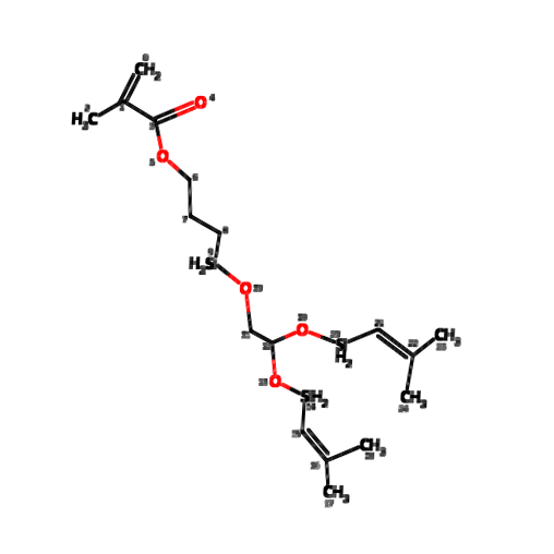 C=C(C)C(=O)OCCC[SiH2]OCC(O[SiH2]C=C(C)C)O[SiH2]C=C(C)C